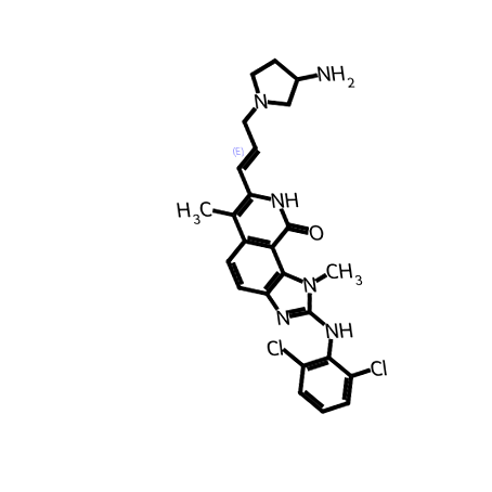 Cc1c(/C=C/CN2CCC(N)C2)[nH]c(=O)c2c1ccc1nc(Nc3c(Cl)cccc3Cl)n(C)c12